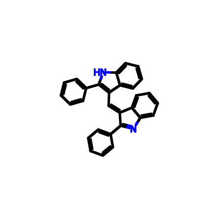 C(=C1\C(c2ccccc2)=Nc2ccccc21)/c1c(-c2ccccc2)[nH]c2ccccc12